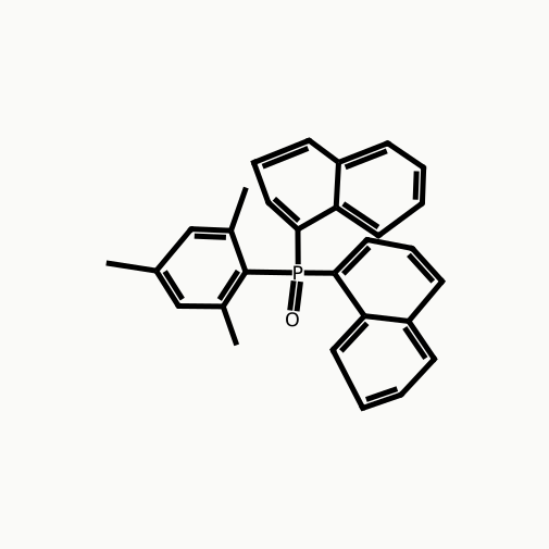 Cc1cc(C)c(P(=O)(c2cccc3ccccc23)c2cccc3ccccc23)c(C)c1